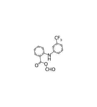 O=COC(=O)c1ccccc1Nc1cccc(C(F)(F)F)c1